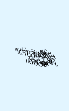 COc1ccc(CNCc2cccc(F)c2)cc1-c1ccc(O)c2c1CC1CC3C(N(C)C)C(O)=C(C(N)=O)C(=O)C3(O)C(O)=C1C2=O